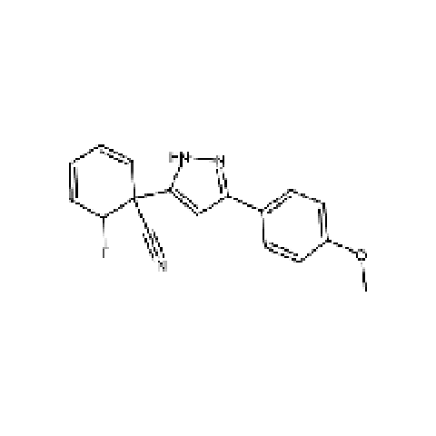 COc1ccc(-c2cc(C3(C#N)C=CC=CC3F)[nH]n2)cc1